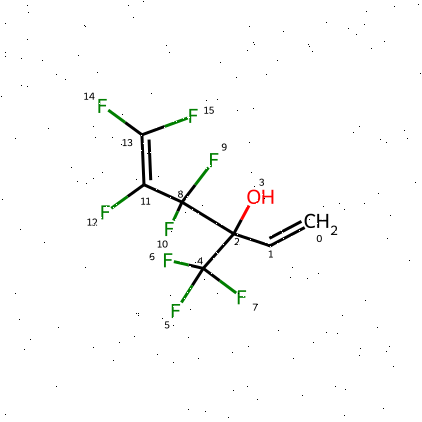 C=CC(O)(C(F)(F)F)C(F)(F)C(F)=C(F)F